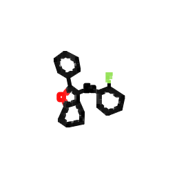 Fc1ccccc1[Se]c1c(-c2ccccc2)oc2ccccc12